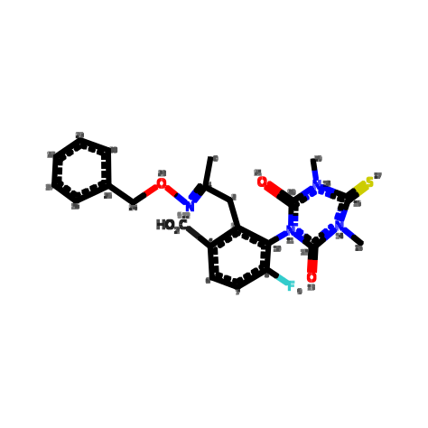 CC(Cc1c(C(=O)O)ccc(F)c1-n1c(=O)n(C)c(=S)n(C)c1=O)=NOCc1ccccc1